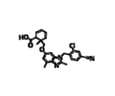 Cc1cc(OCC2(C)C=CC=CC2C(=O)O)cc2c1nc(C)n2Cc1ccc(C#N)cc1Cl